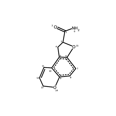 NC(=O)C1Cc2c(ccc3c2C=CCO3)O1